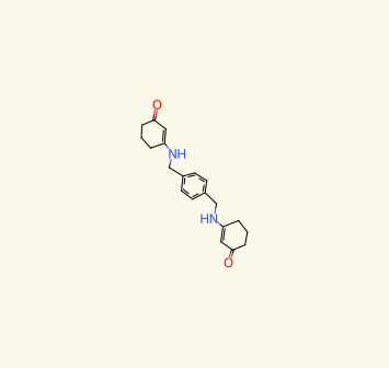 O=C1C=C(NCc2ccc(CNC3=CC(=O)CCC3)cc2)CCC1